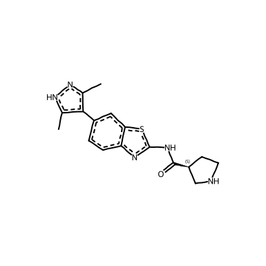 Cc1n[nH]c(C)c1-c1ccc2nc(NC(=O)[C@H]3CCNC3)sc2c1